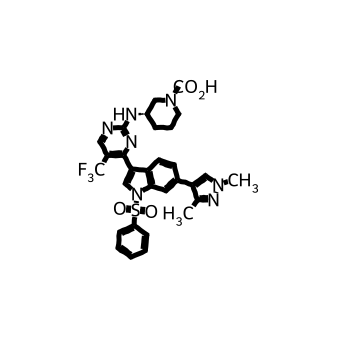 Cc1nn(C)cc1-c1ccc2c(-c3nc(N[C@H]4CCCN(C(=O)O)C4)ncc3C(F)(F)F)cn(S(=O)(=O)c3ccccc3)c2c1